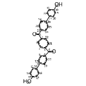 O=C(c1ccc(C(=O)c2ccc(-c3ccc(O)cc3)cc2)cc1)c1ccc(-c2ccc(O)cc2)cc1